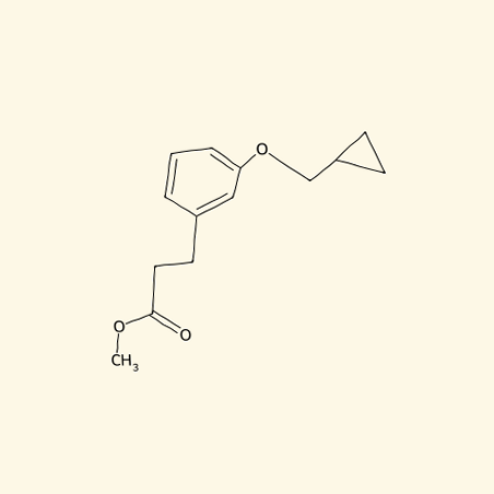 COC(=O)CCc1cccc(OCC2CC2)c1